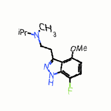 COc1ccc(F)c2[nH]nc(CCN(C)C(C)C)c12